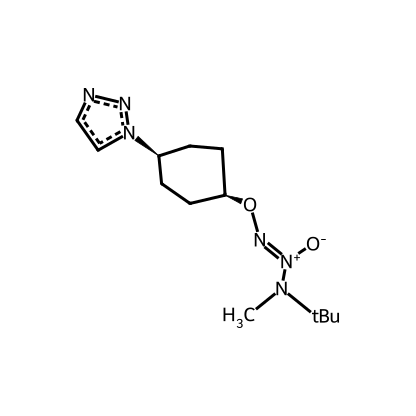 CN(/[N+]([O-])=N/O[C@H]1CC[C@@H](n2ccnn2)CC1)C(C)(C)C